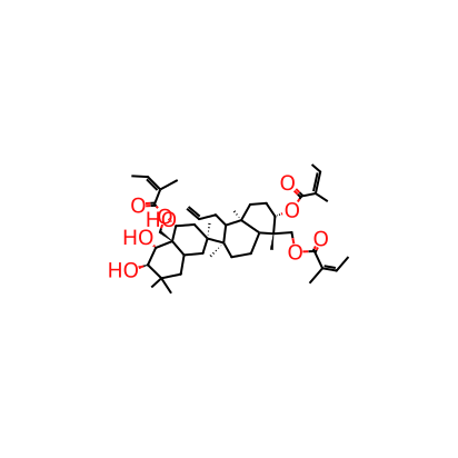 C=CCC1[C@@]2(C)CC[C@H](OC(=O)/C(C)=C\C)[C@](C)(COC(=O)/C(C)=C\C)C2CC[C@@]1(C)[C@@]1(C)CC2CC(C)(C)[C@@H](O)[C@H](O)[C@]2(COC(=O)/C(C)=C\C)[C@H](O)C1